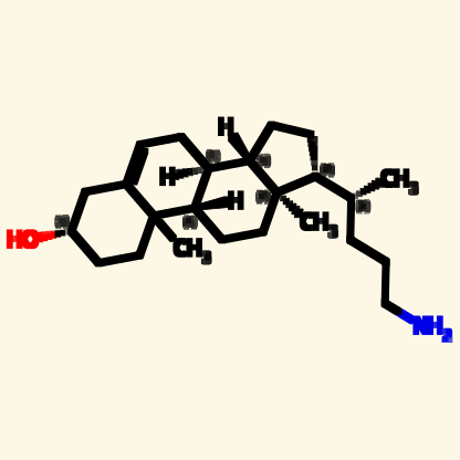 C[C@H](CCCN)[C@H]1CC[C@H]2[C@@H]3CC=C4C[C@@H](O)CCC4(C)[C@H]3CC[C@]12C